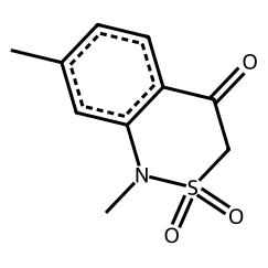 Cc1ccc2c(c1)N(C)S(=O)(=O)CC2=O